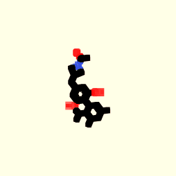 CC(=O)N1CC(Cc2cc(O)c(C3C=C(C)CC(C)C3C(C)C)c(O)c2)C1